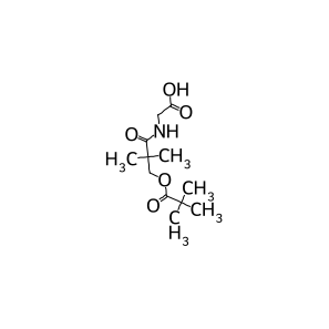 CC(C)(C)C(=O)OCC(C)(C)C(=O)NCC(=O)O